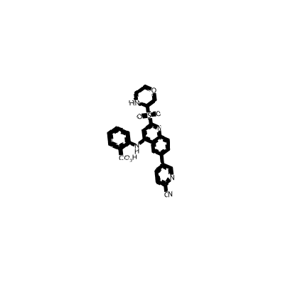 N#Cc1ccc(-c2ccc3nc(S(=O)(=O)C4COCCN4)cc(Nc4ccccc4C(=O)O)c3c2)cn1